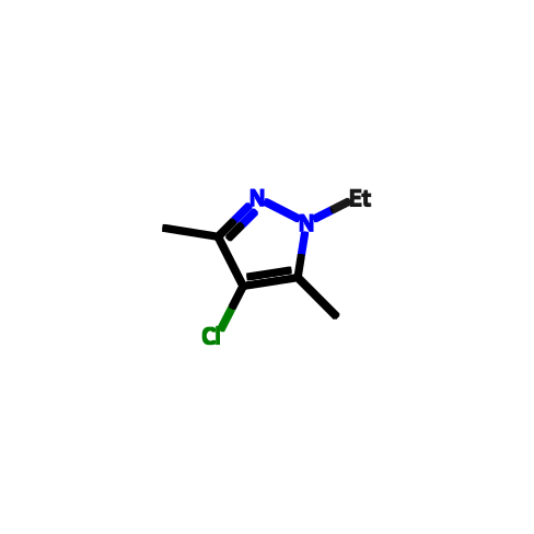 CCn1nc(C)c(Cl)c1C